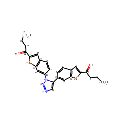 O=C(O)CCC(=O)c1cc2ccc(-c3cnnn3-c3ccc4cc(C(=O)CCC(=O)O)sc4c3)cc2s1